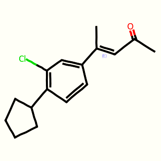 CC(=O)/C=C(\C)c1ccc(C2CCCC2)c(Cl)c1